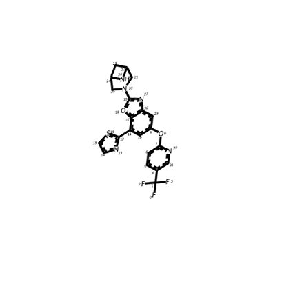 FC(F)(F)c1ccc(Oc2cc(-c3nccs3)c3oc(N4CC5CC(C4)N5)nc3c2)nc1